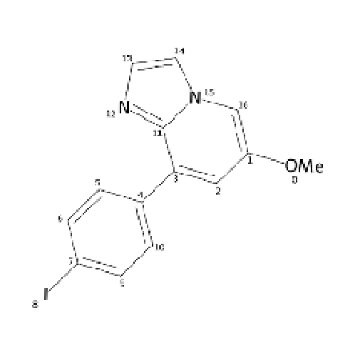 COc1cc(-c2ccc(I)cc2)c2nccn2c1